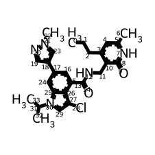 CCCc1cc(C)[nH]c(=O)c1CNC(=O)c1cc(-c2cnn(C)c2)cc2c1c(Cl)cn2C(C)C